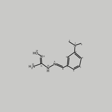 CN(C)c1cccc(C=NNC(N)=NO)c1